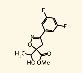 COC(=O)C1(C(C)O)CC(c2cc(F)cc(F)c2)=NO1